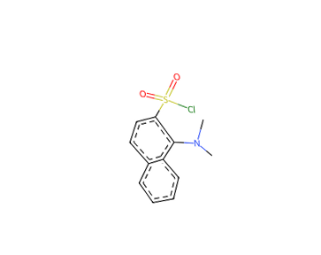 CN(C)c1c(S(=O)(=O)Cl)ccc2ccccc12